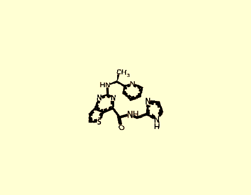 C[C@H](Nc1nc(C(=O)NCc2ncc[nH]2)c2sccc2n1)c1ccccn1